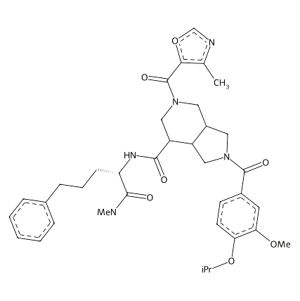 CNC(=O)[C@H](CCCc1ccccc1)NC(=O)C1CN(C(=O)c2ocnc2C)CC2CN(C(=O)c3ccc(OC(C)C)c(OC)c3)CC21